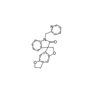 O=C1N(Cc2ccccn2)c2ccccc2C12COc1cc3c(cc12)OCC3